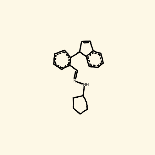 C1=CC(c2ccccc2C=NNC2CCCCC2)c2ccccc21